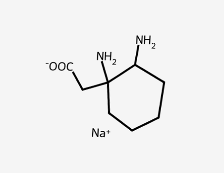 NC1CCCCC1(N)CC(=O)[O-].[Na+]